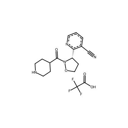 N#Cc1cccnc1[C@@H]1CCON1C(=O)C1CCNCC1.O=C(O)C(F)(F)F